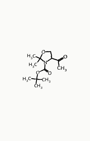 CC(=O)C1COC(C)(C)N1C(=O)OC(C)(C)C